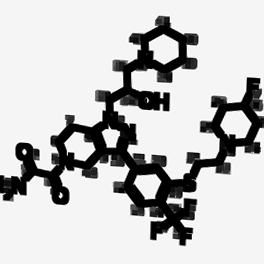 NC(=O)C(=O)N1CCc2c(c(-c3ccc(C(F)(F)F)c(SCCN4CCC(F)CC4)c3)nn2C[C@H](O)CN2CCCCC2)C1